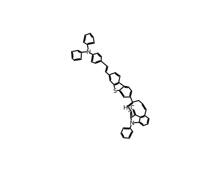 C=c1/c2n(-c3ccccc3)c3cccc(c13)/C=C\C/C(c1ccc3c(c1)sc1cc(/C=C/c4ccc(N(c5ccccc5)c5ccccc5)cc4)ccc13)=C\C=2